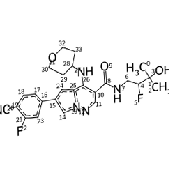 CC(C)(O)C(F)CNC(=O)c1cnn2cc(-c3ccc(C#N)c(F)c3)cc2c1NC1CCOCC1